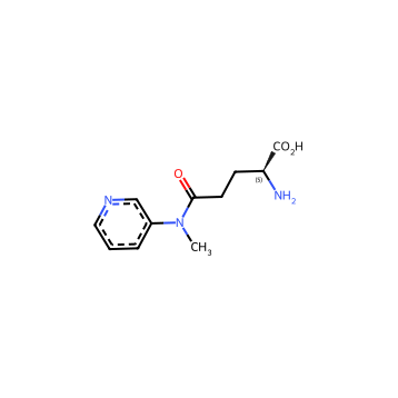 CN(C(=O)CC[C@H](N)C(=O)O)c1cccnc1